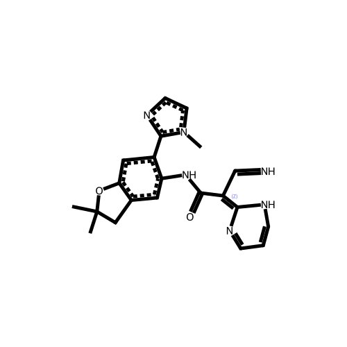 Cn1ccnc1-c1cc2c(cc1NC(=O)/C(C=N)=C1\N=CC=CN1)CC(C)(C)O2